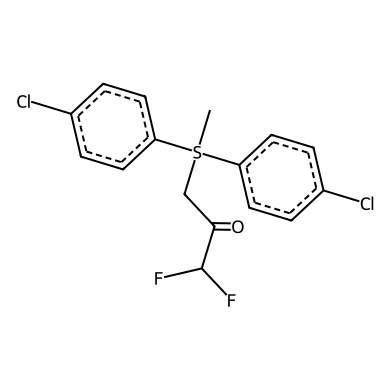 CS(CC(=O)C(F)F)(c1ccc(Cl)cc1)c1ccc(Cl)cc1